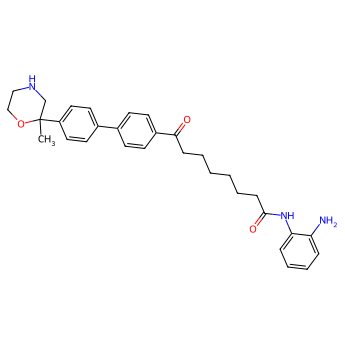 CC1(c2ccc(-c3ccc(C(=O)CCCCCCC(=O)Nc4ccccc4N)cc3)cc2)CNCCO1